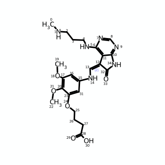 CNCCCNc1ncnc2c1/C(=C/Nc1cc(OC)c(OC)c(OCCCC(=O)O)c1)C(=O)N2